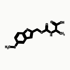 CSc1ccc2sc(COC(=O)NC(C)C(=O)O)cc2c1